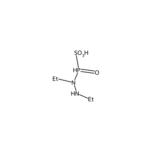 CCNN(CC)[PH](=O)S(=O)(=O)O